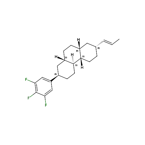 CC=C[C@@H]1CC[C@H]2[C@H](CC[C@H]3C[C@H](c4cc(F)c(F)c(F)c4)CC[C@@H]32)C1